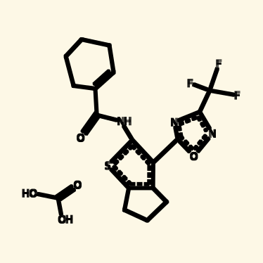 O=C(Nc1sc2c(c1-c1nc(C(F)(F)F)no1)CCC2)C1=CCCCC1.O=C(O)O